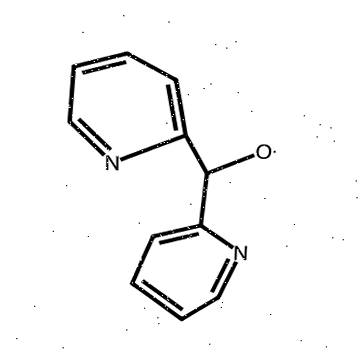 [O]C(c1ccccn1)c1ccccn1